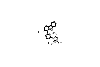 Cc1ccc2c(oc3ccccc32)c1-c1cccc(N2C=CN(C(C)C)[C@H]2C)[n+]1C